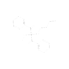 CCCCOC(OC)(C(=O)c1ccccc1)C(=O)c1ccccc1